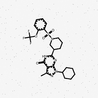 Cc1nn(C2CCCCC2)c2nc(C3CCCN(S(=O)(=O)c4ccccc4OC(F)(F)F)C3)[nH]c(=O)c12